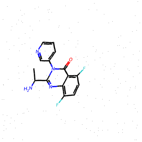 CC(N)c1nc2c(F)ccc(F)c2c(=O)n1-c1cccnc1